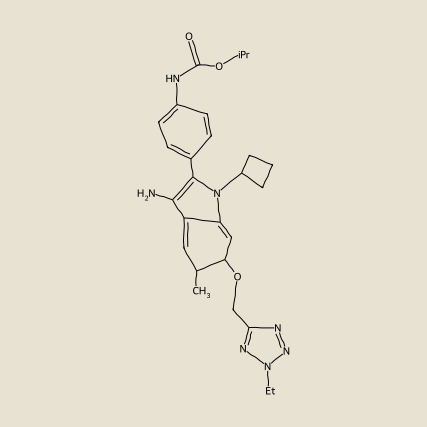 CCn1nnc(COC2C=c3c(c(N)c(-c4ccc(NC(=O)OC(C)C)cc4)n3C3CCC3)=CC2C)n1